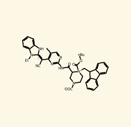 CCCCOC(=O)[N+]1(CC2c3ccccc3-c3ccccc32)CCN(C(=O)[O-])CC1C(=O)Nc1ncc(C)c(/C(C#N)=C2\Nc3ccccc3N2CC)n1